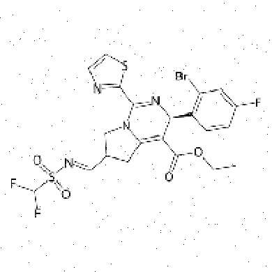 CCOC(=O)C1=C2CC(/C=N/S(=O)(=O)C(F)F)CN2C(c2nccs2)=N[C@H]1c1ccc(F)cc1Br